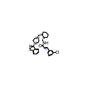 O=C(/C=C/c1cccc(Cl)c1)NC[C@H]1CCCC[C@@H]1CN1CCN(c2nsc3ccccc23)CC1